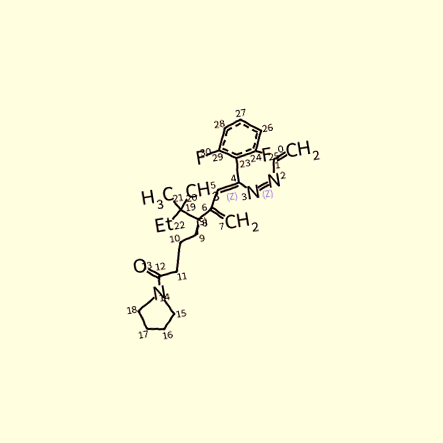 C=C/N=N\C(=C/C(=C)[C@@H](CCCC(=O)N1CCCC1)C(C)(C)CC)c1c(F)cccc1F